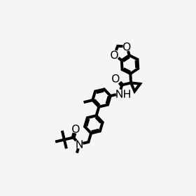 Cc1ccc(NC(=O)C2(c3ccc4c(c3)OCO4)CC2)cc1-c1ccc(CN(C)C(=O)C(C)(C)C)cc1